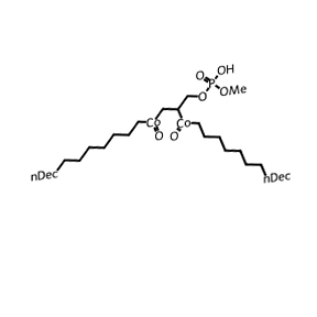 CCCCCCCCCCCCCCCC[CH2][Co](=[O])[CH2][CH](COP(=O)(O)OC)[Co](=[O])[CH2]CCCCCCCCCCCCCCCC